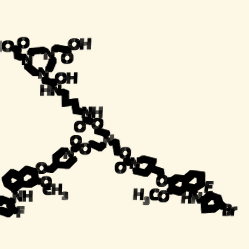 COc1cc2c(Nc3ccc(Br)cc3F)cccc2cc1OCC1CCN(C(=O)OCCN(CCOC(=O)NCCCCNC(O)CN2CCN(CC(=O)O)CCN(CC(=O)O)CC2)CCOC(=O)N2CCC(COc3cc4cccc(Nc5ccc(Br)cc5F)c4cc3OC)CC2)CC1